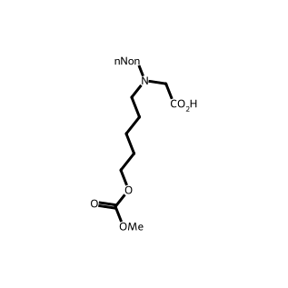 CCCCCCCCCN(CCCCCOC(=O)OC)CC(=O)O